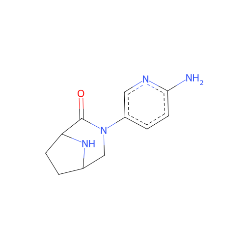 Nc1ccc(N2CC3CCC(N3)C2=O)cn1